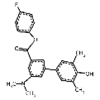 Cc1cc(-c2cc(C(=O)Oc3ccc(F)cc3)cc(N(C)C)c2)cc(C)c1O